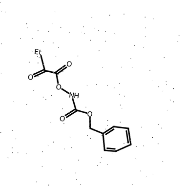 CCC(=O)C(=O)ONC(=O)OCc1ccccc1